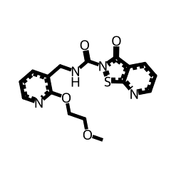 COCCOc1ncccc1CNC(=O)n1sc2ncccc2c1=O